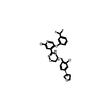 FC(F)c1cccc(Oc2cnc(Cl)cc2C2=NOC[C@@H](Cc3ccc([C@H]4CCOC4)cc3Cl)N2)c1